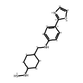 SNC1CCC(CNc2ccc(-c3ncco3)cc2)CC1